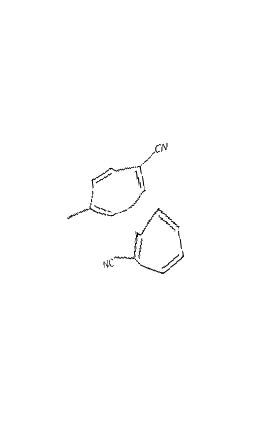 Cc1ccc(C#N)cc1.N#Cc1ccccc1